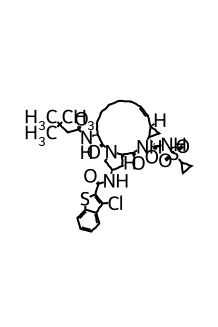 CC(C)(C)CC(=O)N[C@H]1CCCCC/C=C\[C@@H]2C[C@@]2(C(=O)NS(=O)(=O)C2CC2)NC(=O)[C@@H]2C[C@@H](NC(=O)c3sc4ccccc4c3Cl)CN2C1=O